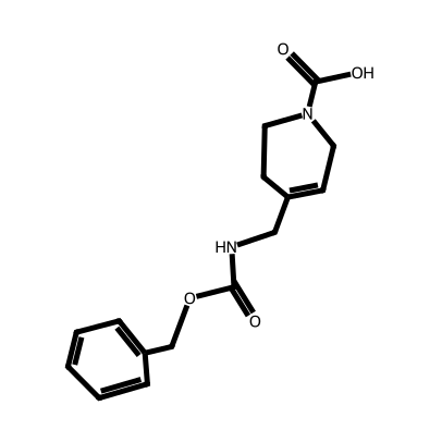 O=C(NCC1=CCN(C(=O)O)CC1)OCc1ccccc1